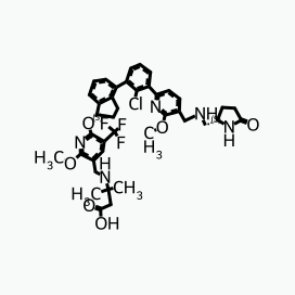 COc1nc(-c2cccc(-c3cccc4c3CC[C@@H]4Oc3nc(OC)c(CNC(C)(C)CC(=O)O)cc3C(F)(F)F)c2Cl)ccc1CNC[C@@H]1CCC(=O)N1